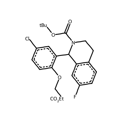 CCOC(=O)COc1ccc(Cl)cc1C1c2cc(F)ccc2CCN1C(=O)OC(C)(C)C